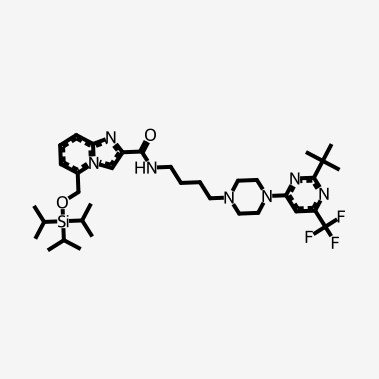 CC(C)[Si](OCc1cccc2nc(C(=O)NCCCCN3CCN(c4cc(C(F)(F)F)nc(C(C)(C)C)n4)CC3)cn12)(C(C)C)C(C)C